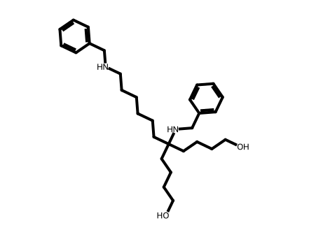 OCCCCC(CCCCO)(CCCCCCNCc1ccccc1)NCc1ccccc1